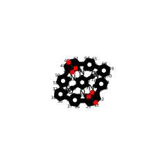 N#Cc1c(-n2c3ccccc3c3ccccc32)c(-n2c3ccccc3c3ccc4c5ccccc5oc4c32)c(C#N)c(-n2c3ccccc3c3ccccc32)c1-n1c2ccccc2c2ccc3c4ccccc4oc3c21